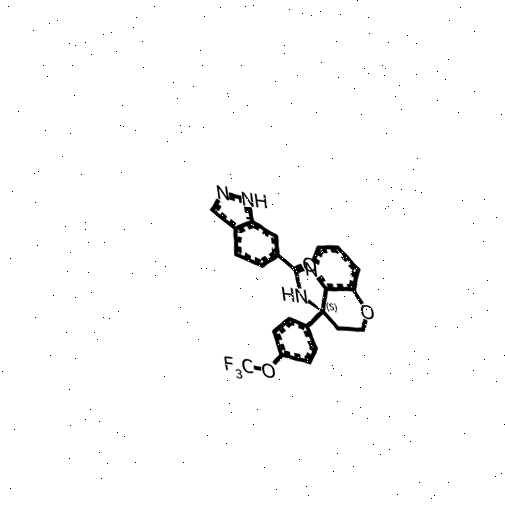 O=C(N[C@]1(c2ccc(OC(F)(F)F)cc2)CCOc2cccnc21)c1ccc2cn[nH]c2c1